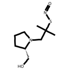 CC(C)(CN1CCC[C@H]1CO)SN=O